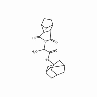 CC(C(=O)NC12CC3CC(CC(C3)C1)C2)N1C(=O)C2C3CCC(O3)C2C1=O